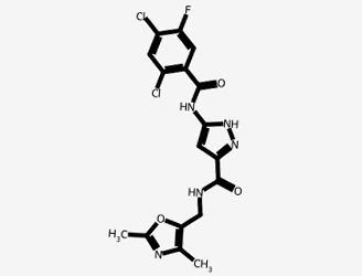 Cc1nc(C)c(CNC(=O)c2cc(NC(=O)c3cc(F)c(Cl)cc3Cl)[nH]n2)o1